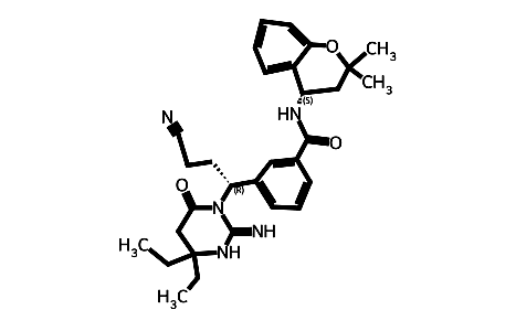 CCC1(CC)CC(=O)N([C@H](CCC#N)c2cccc(C(=O)N[C@H]3CC(C)(C)Oc4ccccc43)c2)C(=N)N1